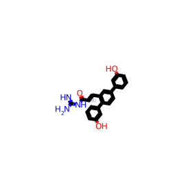 N=C(N)NC(=O)/C=C/c1cc(-c2cccc(O)c2)ccc1-c1cccc(O)c1